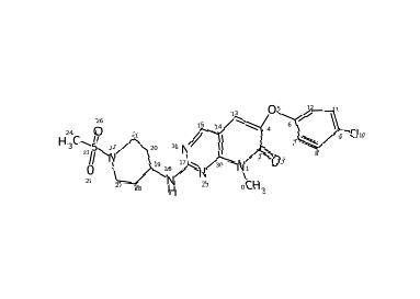 Cn1c(=O)c(Oc2ccc(Cl)cc2)cc2cnc(NC3CCN(S(C)(=O)=O)CC3)nc21